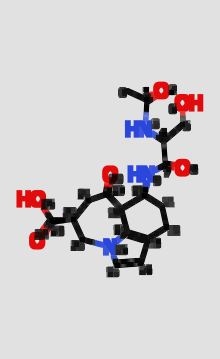 CC(=O)NC(CO)C(=O)N[C@H]1CCc2ccn3c2C1C(=O)C[C@H](C(=O)O)C3